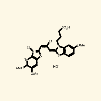 CCC(=Cc1sc2c([n+]1CC)[Te]C(OC)C(OC)=C2)C=C1Sc2ccc(OC)cc2N1CCCS(=O)(=O)O.[OH-]